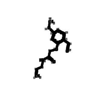 C=CCNC(=O)COc1cc(OC)ccc1C=O